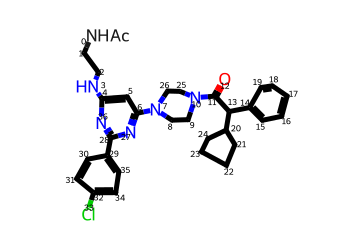 CC(=O)NCCNc1cc(N2CCN(C(=O)C(c3ccccc3)C3CCCC3)CC2)nc(-c2ccc(Cl)cc2)n1